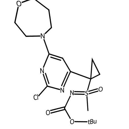 CC(C)(C)OC(=O)N=S(C)(=O)C1(c2cc(N3CCCOCC3)nc(Cl)n2)CC1